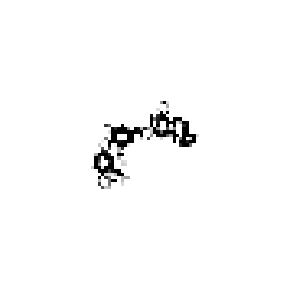 O=c1nc(OCc2cc(F)c(Oc3ccc(Cl)c(C(F)(F)F)c3)c(F)c2)cc2n1CCC13CC(CN21)C3